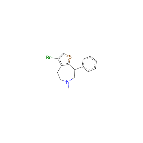 CN1CCc2c(Br)csc2C(c2ccccc2)C1